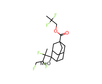 COC1(C(C)(F)C(F)CF)C2CC3CC1CC(C(=O)OCC(C)(F)F)(C3)C2